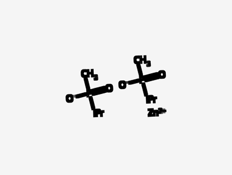 CC(C)P(C)(=O)[O-].CC(C)P(C)(=O)[O-].[Zn+2]